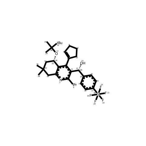 CC(C)c1nc2c(c(C3=CCCC3)c1[C@H](O)c1ccc(S(F)(F)(F)(F)F)cc1)[C@@H](OC(C)(C)C(C)(C)C)CC(C)(C)C2